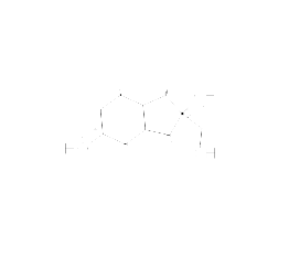 CCC1(C)CC2CCC(O)CC2C1